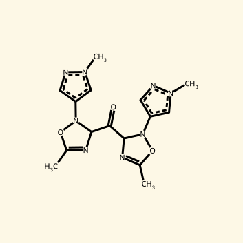 CC1=NC(C(=O)C2N=C(C)ON2c2cnn(C)c2)N(c2cnn(C)c2)O1